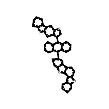 c1ccc2c(c1)oc1ccc3c4cc(-c5c6ccccc6c(-c6coc7cc8c(cc67)sc6ccccc68)c6ccccc56)ccc4oc3c12